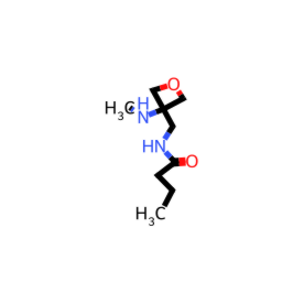 CCCC(=O)NCC1(NC)COC1